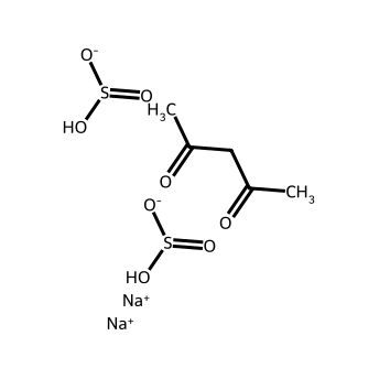 CC(=O)CC(C)=O.O=S([O-])O.O=S([O-])O.[Na+].[Na+]